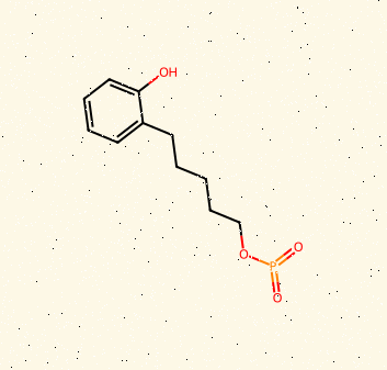 O=P(=O)OCCCCCc1ccccc1O